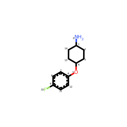 NC1CCC(Oc2ccc(F)cc2)CC1